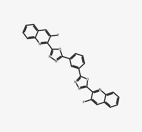 Fc1cc2ccccc2nc1-c1nnc(-c2cccc(-c3nnc(-c4nc5ccccc5cc4F)o3)c2)o1